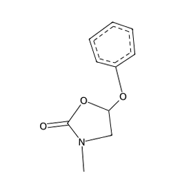 CN1CC(Oc2ccccc2)OC1=O